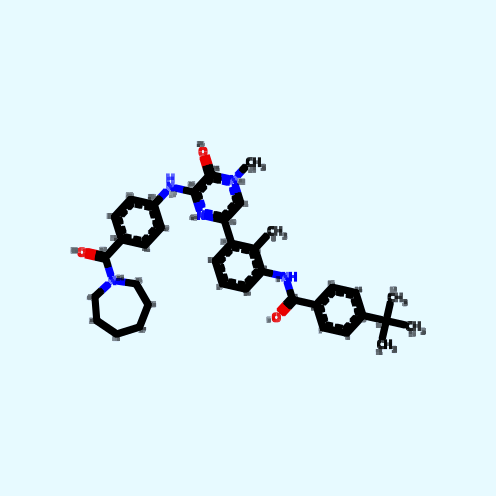 Cc1c(NC(=O)c2ccc(C(C)(C)C)cc2)cccc1-c1cn(C)c(=O)c(Nc2ccc(C(=O)N3CCCCCC3)cc2)n1